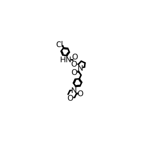 O=C(Nc1ccc(Cl)cc1)O[C@H]1CCCN1C(=O)Cc1ccc(N2CCOCC2=O)cc1